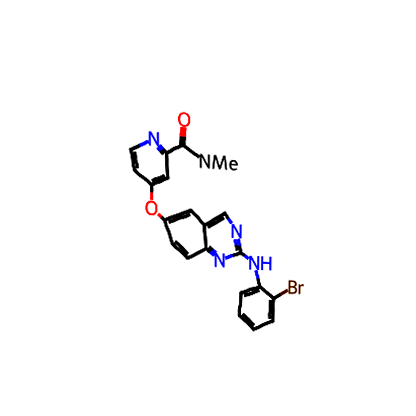 CNC(=O)c1cc(Oc2ccc3nc(Nc4ccccc4Br)ncc3c2)ccn1